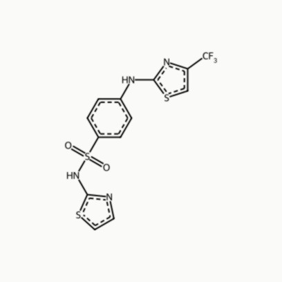 O=S(=O)(Nc1nccs1)c1ccc(Nc2nc(C(F)(F)F)cs2)cc1